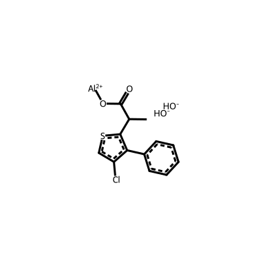 CC(C(=O)[O][Al+2])c1scc(Cl)c1-c1ccccc1.[OH-].[OH-]